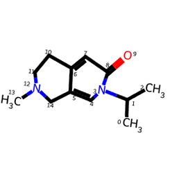 CC(C)n1cc2c(cc1=O)CCN(C)C2